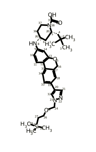 CC(C)(C)C[C@@H]1C[C@H](Nc2ccc3c(c2)OCc2cc(-c4cnn(COCC[Si](C)(C)C)c4)ccc2-3)CCN1C(=O)O